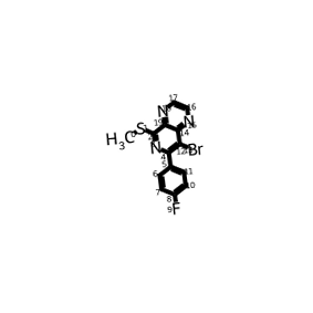 CSc1nc(-c2ccc(F)cc2)c(Br)c2nccnc12